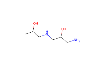 CC(O)CNCC(O)CN